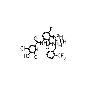 [2H]C([2H])([2H])c1nc2c(F)ccc(NC(=O)c3cc(Cl)c(O)c(Cl)n3)c2c(=O)n1Cc1ccccc1C(F)(F)F